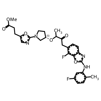 COC(=O)CCc1cnc(N2CC[C@H](OC(C)C(=O)Cc3ccc4nc(Nc5cc(F)ccc5C)oc4c3F)C2)o1